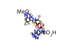 COc1cnc2c(-c3nc4c(C)cc5c(c4s3)OC[C@@H](CN(C(=O)O)c3cnc4c(c3)ncn4C)O5)cc(C)cc2n1